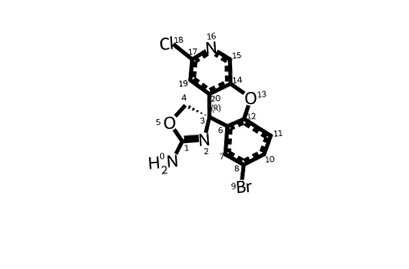 NC1=N[C@]2(CO1)c1cc(Br)ccc1Oc1cnc(Cl)cc12